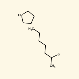 C1CCNC1.CCCCCC(C)Br